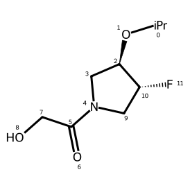 CC(C)O[C@@H]1CN(C(=O)CO)C[C@H]1F